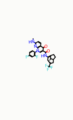 CNc1ccc2c(=O)c(C(=O)NC3=C4CCC5CC(C(F)(F)F)(C3)CC45)cn(-c3ccc(F)cc3F)c2n1